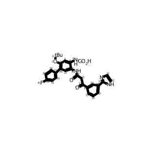 CC(C)(C)Oc1cc(NC(=O)O)c(NC(=O)CC(=O)c2cccc(-c3ncc[nH]3)c2)cc1-c1ccc(F)cc1